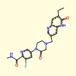 CCc1cc2ncc(CN3CCN(c4cnc(C(=O)NC)c(F)c4)C(=O)C3)cc2[nH]c1=O